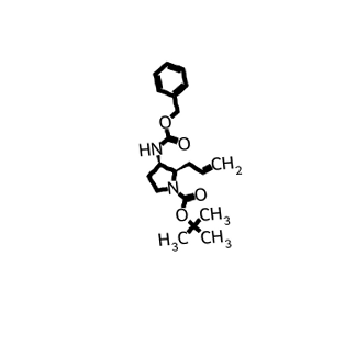 C=CC[C@@H]1[C@H](NC(=O)OCc2ccccc2)CCN1C(=O)OC(C)(C)C